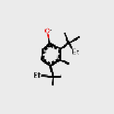 CCC(C)(C)c1ccc([O])c(C(C)(C)CC)c1C